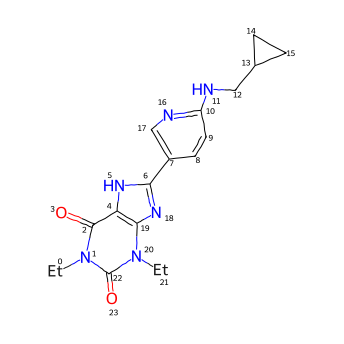 CCn1c(=O)c2[nH]c(-c3ccc(NCC4CC4)nc3)nc2n(CC)c1=O